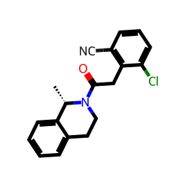 C[C@H]1c2ccccc2CCN1C(=O)Cc1c(Cl)cccc1C#N